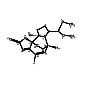 COC(OC)C1CC[C@H]2N1[C@@H]1C=C(I)C3=CC(=O)O[C@@]32CC1